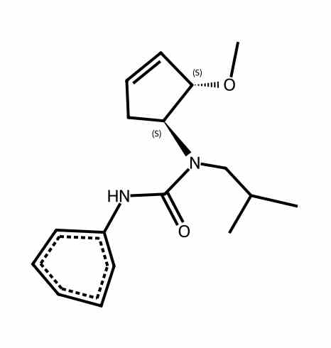 CO[C@H]1C=CC[C@@H]1N(CC(C)C)C(=O)Nc1ccccc1